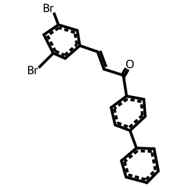 O=C(/C=C/c1cc(Br)cc(Br)c1)c1ccc(-c2ccccc2)cc1